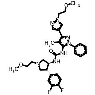 COCCN1C[C@@H](NC(=O)Nc2c(C)c(-c3cnn(CCOC)c3)nn2-c2ccccc2)[C@H](c2ccc(F)c(F)c2)C1